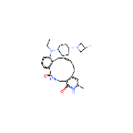 CCN(c1cccc2c1CC=CCCc1cc(C)[nH]c(=O)c1CNC2=O)[C@H]1CC[C@@H](N2CC(F)C2)CC1